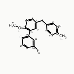 COc1ncc(Cc2cnc(C)nc2)cc1-c1cccc(F)c1